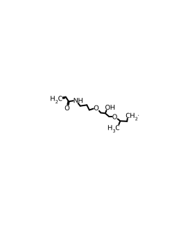 [CH2]CC(C)OCC(O)COCCCNC(=O)C=C